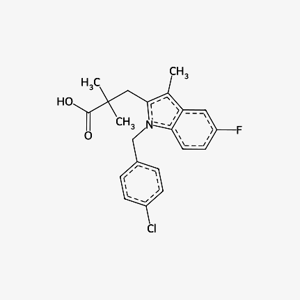 Cc1c(CC(C)(C)C(=O)O)n(Cc2ccc(Cl)cc2)c2ccc(F)cc12